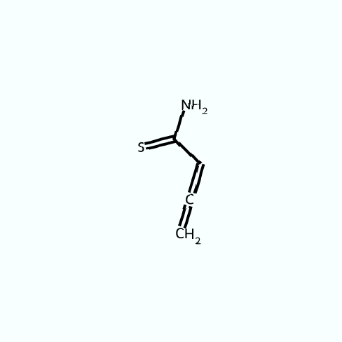 C=C=CC(N)=S